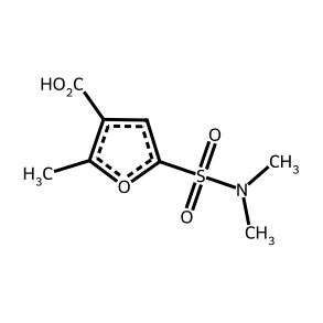 Cc1oc(S(=O)(=O)N(C)C)cc1C(=O)O